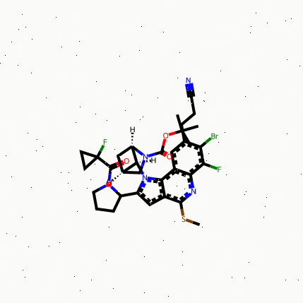 CSc1nc2c(F)c(Br)c(CCC#N)cc2c2c1cc(C1CCCN1C(=O)C1(F)CC1)n2[C@H]1[C@@H]2C[C@H]1N(C(=O)OC(C)(C)C)C2